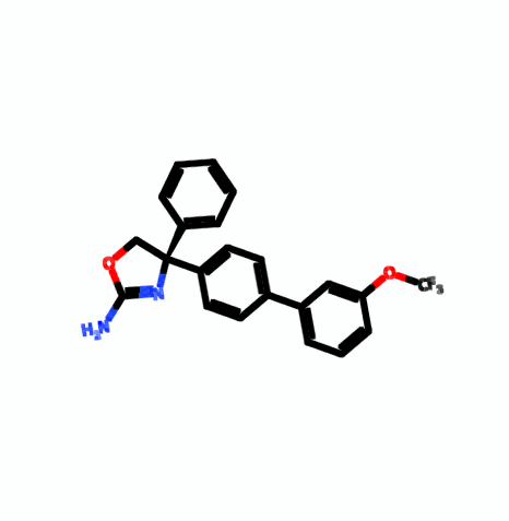 NC1=N[C@@](c2ccccc2)(c2ccc(-c3cccc(OC(F)(F)F)c3)cc2)CO1